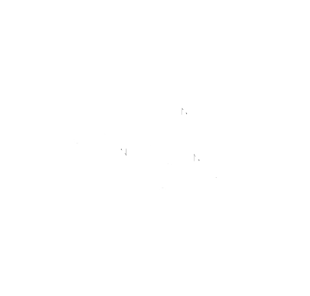 Cn1c(=O)ccc2ncn(C(C)(C)C)c(=O)c21